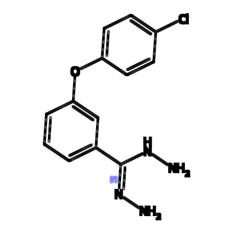 N/N=C(\NN)c1cccc(Oc2ccc(Cl)cc2)c1